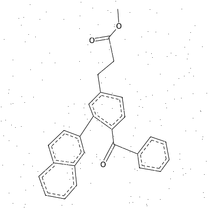 COC(=O)CCc1ccc(C(=O)c2ccccc2)c(-c2ccc3ccccc3c2)c1